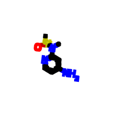 CN(c1cc(N)ccn1)[S+](C)[O-]